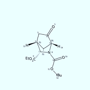 CCOC(=O)[C@@H]1[C@@H]2CC(=O)[C@@H](C2)N1C(=O)OC(C)(C)C